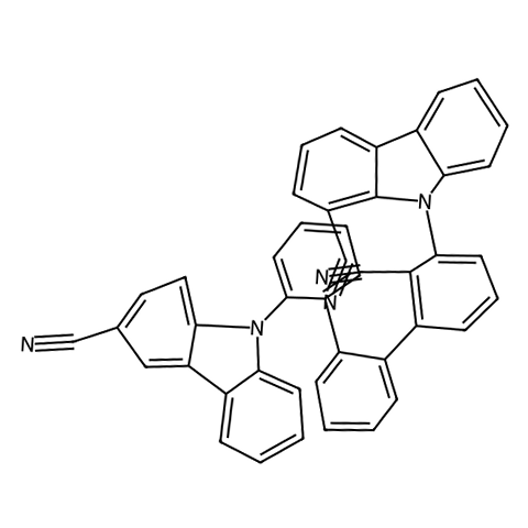 N#Cc1ccc2c(c1)c1ccccc1n2-c1ccccc1-c1ccccc1-c1cccc(-n2c3ccccc3c3cccc(C#N)c32)c1C#N